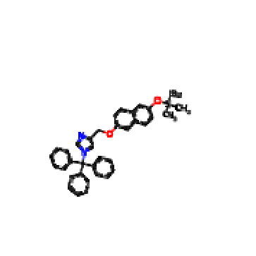 CC(C)(C)[Si](C)(C)Oc1ccc2cc(OCc3cn(C(c4ccccc4)(c4ccccc4)c4ccccc4)cn3)ccc2c1